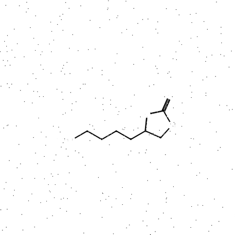 CCCCCCCCCC1CNC(=O)O1